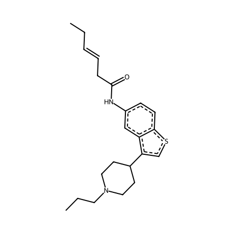 CCC=CCC(=O)Nc1ccc2scc(C3CCN(CCC)CC3)c2c1